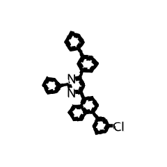 Clc1cccc(-c2ccc(-c3cc(-c4cccc(-c5ccccc5)c4)nc(-c4ccccc4)n3)c3ccccc23)c1